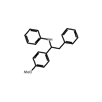 COc1ccc(C(Cc2ccccc2)Nc2ccccc2)cc1